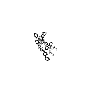 CC1(C)c2ccccc2-c2ccc(N(c3ccc(-c4ccccc4)cc3)c3ccc(-c4ccc5c6ccc7c(c6n(-c6nc(-c8ccccc8)nc(-c8ccc9ccccc9c8)n6)c5c4)C(C)(C)c4ccccc4-7)o3)cc21